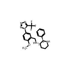 COc1ccc(-n2nnnc2C(F)(F)F)cc1CN[C@H]1CCCN[C@@H]1c1ccccc1